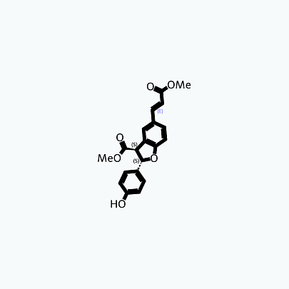 COC(=O)/C=C/c1ccc2c(c1)[C@H](C(=O)OC)[C@@H](c1ccc(O)cc1)O2